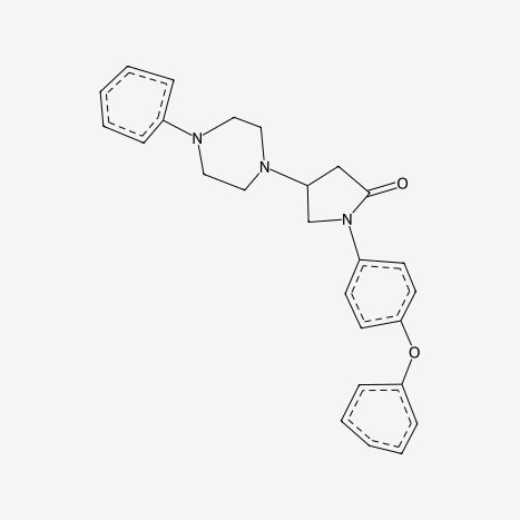 O=C1CC(N2CCN(c3ccccc3)CC2)CN1c1ccc(Oc2ccccc2)cc1